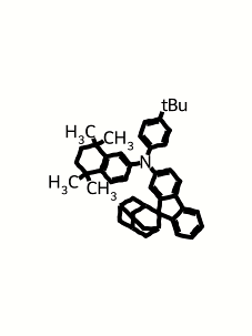 CC(C)(C)c1ccc(N(c2ccc3c(c2)C(C)(C)CCC3(C)C)c2ccc3c(c2)C2(c4ccccc4-3)C3CC4CC(C3)CC2C4)cc1